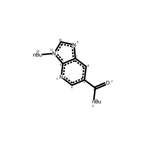 CCCCC(=O)c1cnc2c(c1)n[c]n2CCCC